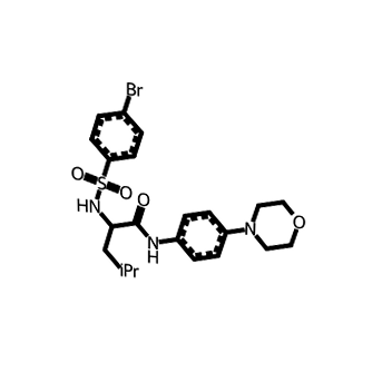 CC(C)CC(NS(=O)(=O)c1ccc(Br)cc1)C(=O)Nc1ccc(N2CCOCC2)cc1